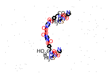 CC1(C)SCN(S(=O)(=O)c2cccnc2)[C@@H]1C(=O)N[C@@H](Cc1ccc(OC(=O)N2CCN(C(=O)OCOC(=O)N3CCN(C(=O)Oc4ccc(C[C@H](NC(=O)[C@H]5N(S(=O)(=O)c6cccnc6)CSC5(C)C)C(=O)O)cc4)CC3)CC2)cc1)C(=O)O